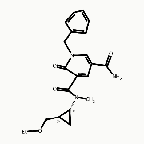 CCOC[C@@H]1C[C@H]1N(C)C(=O)c1cc(C(N)=O)cn(Cc2ccccc2)c1=O